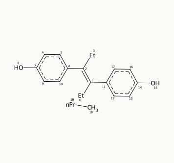 CC/C(=C(/CC)c1ccc(O)cc1)c1ccc(O)cc1.CCCC